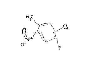 Cc1cc(Cl)c(F)cc1[N+](=O)[O-]